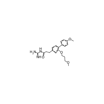 COCCCOc1cc(CCC(=O)NC(=N)N)ccc1-c1ccc(OC)cc1